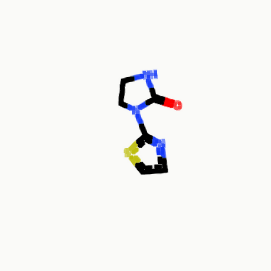 O=C1NCCN1c1nccs1